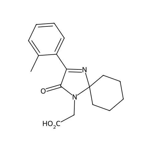 Cc1ccccc1C1=NC2(CCCCC2)N(CC(=O)O)C1=O